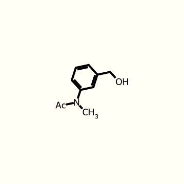 CC(=O)N(C)c1cccc(CO)c1